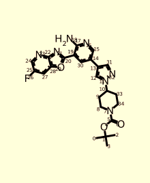 CC(C)(C)OC(=O)N1CCC(n2cc(-c3cnc(N)c(-c4nc5ncc(F)cc5o4)c3)cn2)CC1